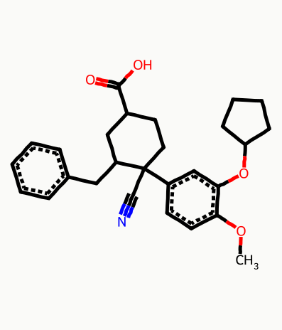 COc1ccc(C2(C#N)CCC(C(=O)O)CC2Cc2ccccc2)cc1OC1CCCC1